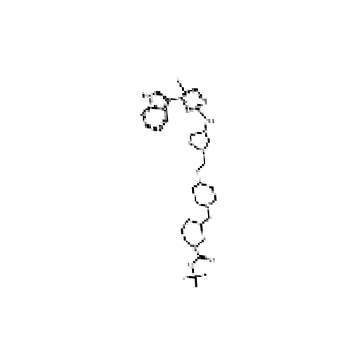 CC(C)(C)OC(=O)N1CCCC(CN2CCC(CCN3CC[C@@H](Nc4ncc(Cl)c(-c5c[nH]c6ccccc56)n4)C3)CC2)C1